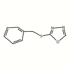 c1ccc(CSc2nnco2)cc1